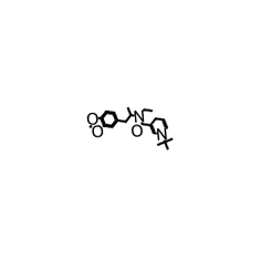 CCN(C(=O)C1=CN(C(C)(C)C)C=CC1)C(C)Cc1ccc2c(c1)OCO2